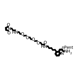 CCCCCc1cc2c(CCCCCNC(=O)CCOCCOCCOCCOCCNCCCN3C(=O)C=CC3=O)cccc2nc1N